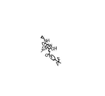 CC(C)Cn1c(=O)c(C(=O)NC2CC2)cn2nc(O)c(C=CC(=O)N3CCC(C(C)(F)F)CC3)c12